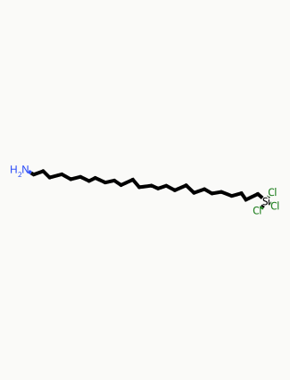 NCCCCCCCCCCCCCCCCCCCCCCCCCC[Si](Cl)(Cl)Cl